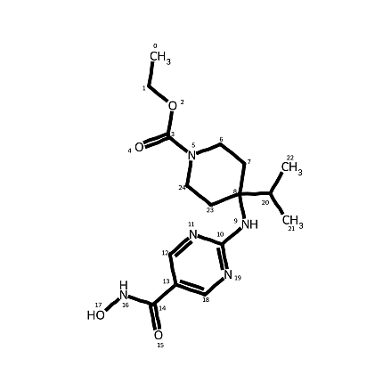 CCOC(=O)N1CCC(Nc2ncc(C(=O)NO)cn2)(C(C)C)CC1